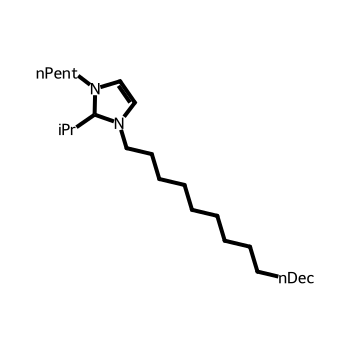 CCCCCCCCCCCCCCCCCCCN1C=CN(CCCCC)C1C(C)C